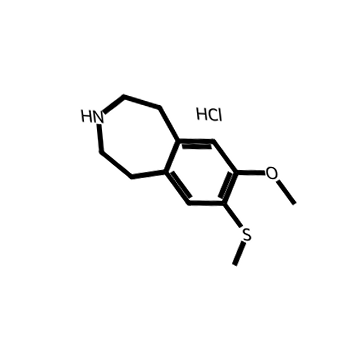 COc1cc2c(cc1SC)CCNCC2.Cl